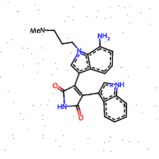 CNCCCn1cc(C2=C(c3c[nH]c4ccccc34)C(=O)NC2=O)c2cccc(N)c21